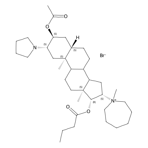 CCCC(=O)O[C@H]1[C@@H]([N+]2(C)CCCCCC2)CC2C3CC[C@H]4C[C@H](OC(C)=O)[C@@H](N5CCCC5)C[C@]4(C)C3CC[C@@]21C.[Br-]